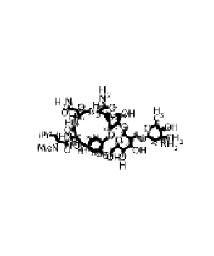 CN[C@H](CC(C)C)C(=O)N[C@H]1C(=O)N[C@@H](CC(N)=O)C(=O)N[C@@H](C(N)=O)c2cc(O)c(OC3OC(CO)C(O)C(O)C3COC3CC(C)(N)C(O)C(C)O3)c(c2)Oc2ccc(cc2Cl)[C@H]1O